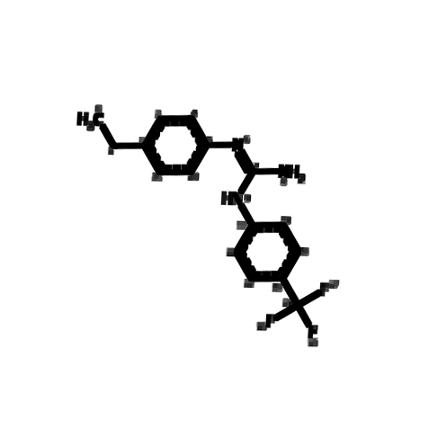 CCc1ccc(N=C(N)Nc2ccc(C(F)(F)F)cc2)cc1